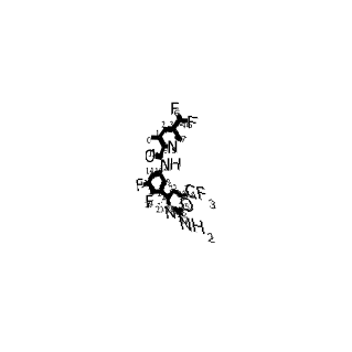 Cc1cc(C(F)F)cnc1C(=O)Nc1cc(F)c(F)c([C@@]2(C)C[C@@H](C(F)(F)F)OC(N)=N2)c1